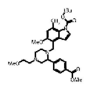 COCCN1CCN(Cc2c(OC)cc(C)c3c2ccn3C(=O)OC(C)(C)C)C(c2ccc(C(=O)OC)cc2)C1